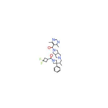 Cc1ncnc(C)c1C(=O)N1CC2CN(CC(C)C3(c4ccccc4)CN(C(=O)C4CC(F)(F)C4)C3)CC2C1